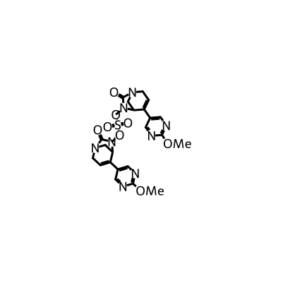 COc1ncc(C2=CCN3CC2N(OS(=O)(=O)ON2C(=O)N4CC=C(c5cnc(OC)nc5)C2C4)C3=O)cn1